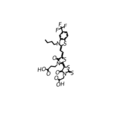 CCCCN1/C(=C/C=c2/s/c(=C3\SC(=S)N(CC(=O)O)C3=O)n(CCC(=O)O)c2=O)Sc2ccc(C(F)(F)F)cc21